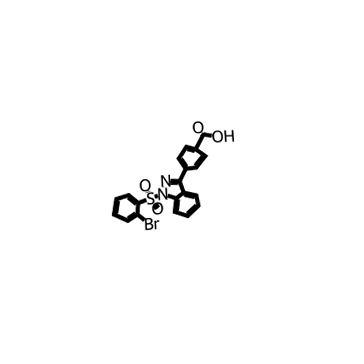 O=C(O)c1ccc(-c2nn(S(=O)(=O)c3ccccc3Br)c3ccccc23)cc1